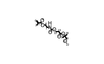 C=C(C)C(=O)OCCNC(=O)OCCC(=O)OC(C)(C)COC